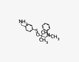 CN(CC(C)(C)OSc1ccc(CN)cc1)c1ccccc1